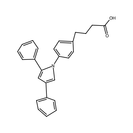 O=C(O)CCCc1ccc(-n2cc(-c3ccccc3)cc2-c2ccccc2)cc1